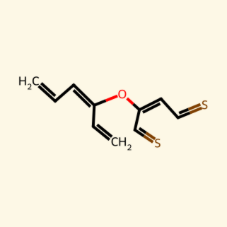 C=C/C=C(\C=C)O/C(C=S)=C/C=S